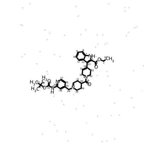 CCOC(=O)c1[nH]c2ccccc2c1C1=CCN(C(=O)C2CCN(Cc3ccnc(NC(=O)OC(C)(C)C)c3)CC2)CC1